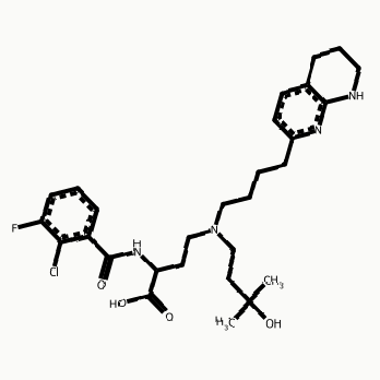 CC(C)(O)CCN(CCCCc1ccc2c(n1)NCCC2)CCC(NC(=O)c1cccc(F)c1Cl)C(=O)O